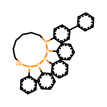 c1ccc(-c2ccc(P3CCCCCCPP(c4ccccc4)P(c4ccccc4)P(c4ccccc4)P3c3ccccc3)cc2)cc1